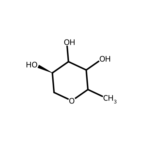 CC1OC[C@@H](O)C(O)C1O